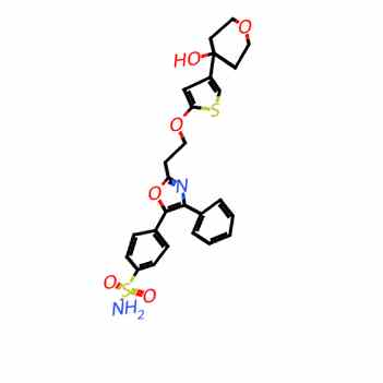 NS(=O)(=O)c1ccc(-c2oc(CCOc3cc(C4(O)CCOCC4)cs3)nc2-c2ccccc2)cc1